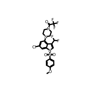 COc1ccc(S(=O)(=O)n2cc(C(F)F)c3c(N4CCN(C(=O)C(F)(F)F)CC4)cc(Cl)cc32)cc1